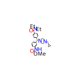 CCN(CC)C(=O)c1ccc([C@@H](c2cccc(NC(=O)OC)c2)N2CCN(CC3CC3)CC2)cc1